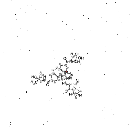 CC(C)(O)CNC(=O)c1ccc2c(c1)CCc1cc(C(=O)NCC(C)(C)O)ccc1C2(CCNCC(=O)N1[C@H](C#N)C[C@@H]2C[C@@H]21)c1nnn[nH]1